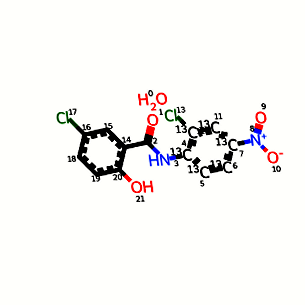 O.O=C(N[13c]1[13cH][13cH][13c]([N+](=O)[O-])[13cH][13c]1Cl)c1cc(Cl)ccc1O